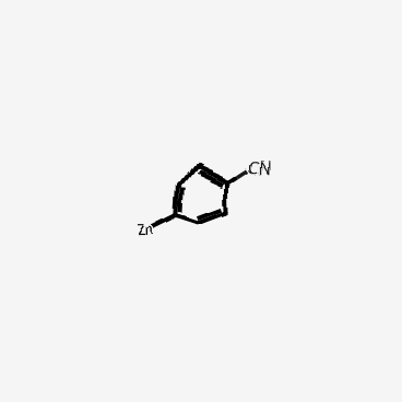 N#Cc1cc[c]([Zn])cc1